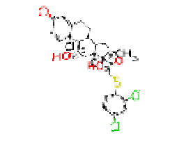 C[C@@H]1CC2C3CCC4=CC(=O)C=CC4(C)C3[C@@H](O)CC2(C)[C@@]1(O)C(=O)CSc1ccc(Cl)cc1Cl